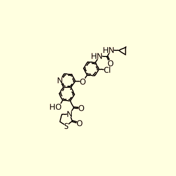 O=C(Nc1ccc(Oc2ccnc3cc(O)c(C(=O)N4CCSC4=O)cc23)cc1Cl)NC1CC1